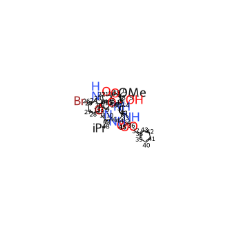 COC(=O)[C@H](CO)NC(=O)c1nc2oc1[C@]13c4cc(ccc4OC1Nc1c(Br)cccc13)C[C@H](NC(=O)OCc1ccccc1)C(=O)N[C@H]2C(C)C